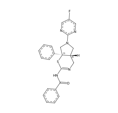 O=C(NC1=NC[C@H]2CN(c3ncc(F)cn3)C[C@]2(c2ccccc2)S1)c1ccccc1